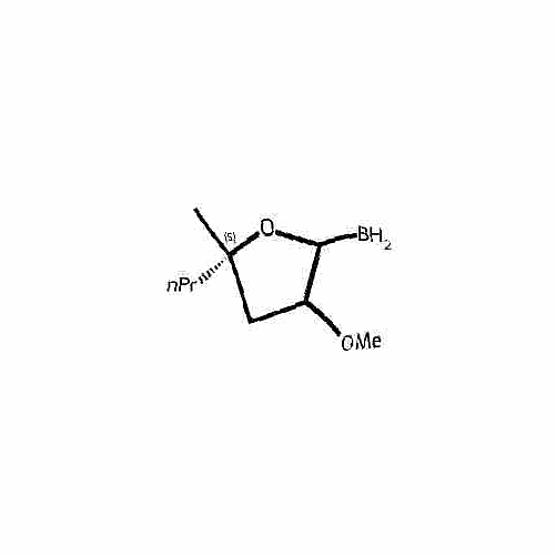 BC1O[C@@](C)(CCC)CC1OC